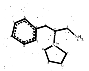 NCC(Cc1ccccc1)N1CCCC1